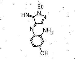 CCN1N=CC(=Nc2ccc(O)cc2N)C1=N